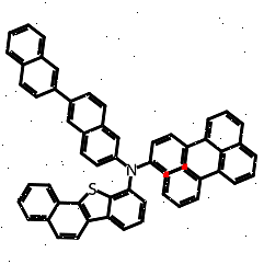 c1ccc(-c2cccc3cccc(-c4ccc(N(c5ccc6cc(-c7ccc8ccccc8c7)ccc6c5)c5cccc6c5sc5c7ccccc7ccc65)cc4)c23)cc1